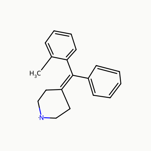 Cc1ccccc1C(=C1CC[N]CC1)c1ccccc1